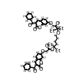 CCC(CC)(CCCCOC(CC)(CC)C(=O)COc1ccc2cc(C(=O)c3ccccc3)c(=O)oc2c1)OC(=O)COc1ccc2cc(C(=O)c3ccccc3)c(=O)oc2c1